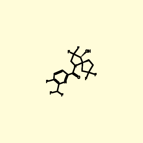 O=C(c1ccc(F)c(C(F)F)n1)N1CC(F)(F)[C@H](O)[C@@]12CCC(F)(F)C2